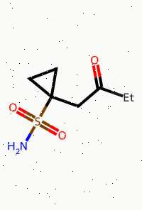 CCC(=O)CC1(S(N)(=O)=O)CC1